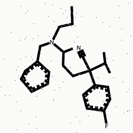 CCCN(Cc1ccccc1)C(C)CCC(C#N)(c1ccc(F)cc1)C(C)C